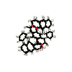 Cc1ccc2c(N(c3ccccc3)c3c4ccccc4cc4ccccc34)c3cc(C)c(C)cc3c(N(c3ccccc3)c3c4ccccc4cc4ccccc34)c2c1